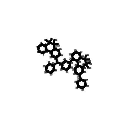 CC1(C)c2ccccc2-c2cc(N(c3ccccc3)c3cccc(-c4cccc5c4-c4ccc(-c6ccccc6)cc4C(C)(C)C5(C)C)c3)ccc2C1(C)C